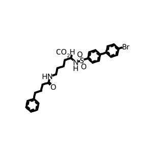 O=C(CCCc1ccccc1)NCCCCC(NS(=O)(=O)c1ccc(-c2ccc(Br)cc2)cc1)C(=O)O